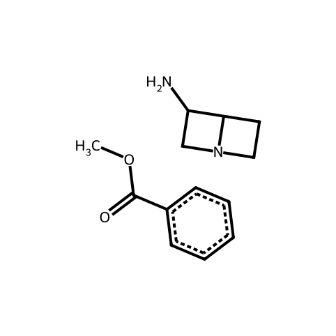 COC(=O)c1ccccc1.NC1CN2CCC12